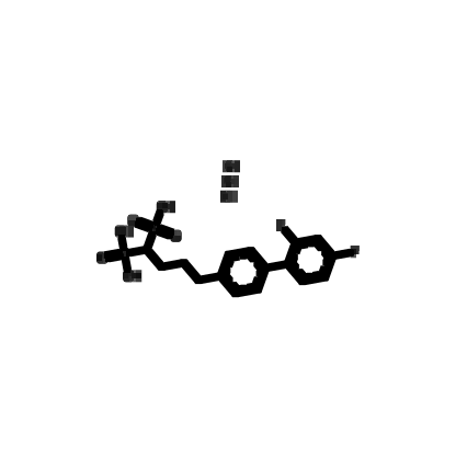 O=P(O)(O)C(CCCc1ccc(-c2ccc(F)cc2F)cc1)S(=O)(=O)O.[KH].[KH].[KH]